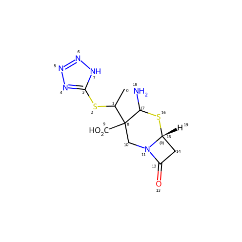 CC(Sc1nnn[nH]1)C1(C(=O)O)CN2C(=O)C[C@H]2SC1N